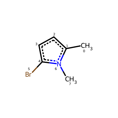 Cc1ccc(Br)n1C